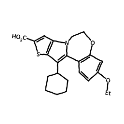 CCOc1ccc2c(c1)OCCn1c-2c(C2CCCCC2)c2sc(C(=O)O)cc21